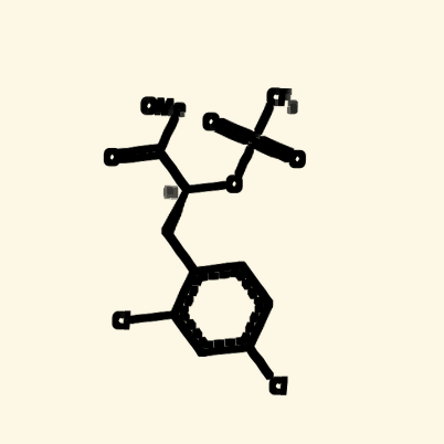 COC(=O)[C@H](Cc1ccc(Cl)cc1Cl)OS(=O)(=O)C(F)(F)F